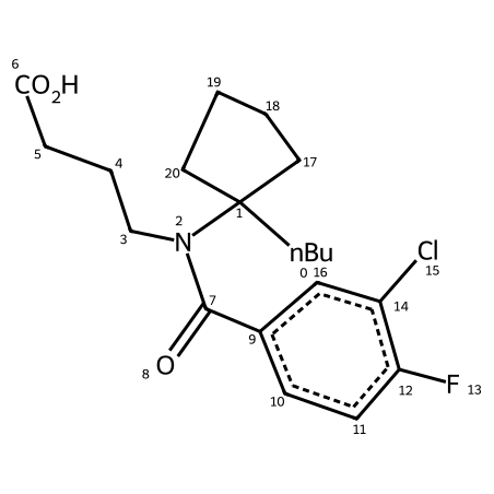 CCCCC1(N(CCCC(=O)O)C(=O)c2ccc(F)c(Cl)c2)CCCC1